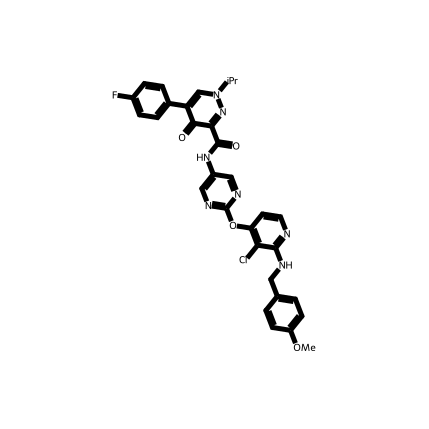 COc1ccc(CNc2nccc(Oc3ncc(NC(=O)c4nn(C(C)C)cc(-c5ccc(F)cc5)c4=O)cn3)c2Cl)cc1